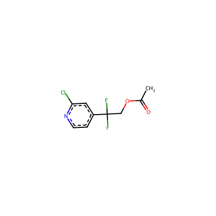 CC(=O)OCC(F)(F)c1ccnc(Cl)c1